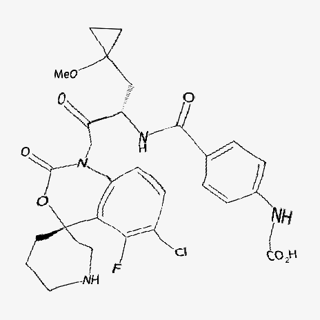 COC1(C[C@H](NC(=O)c2ccc(NC(=O)O)cc2)C(=O)N2C(=O)O[C@]3(CCCNC3)c3c2ccc(Cl)c3F)CC1